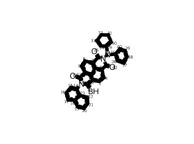 B=c1c2ccc3c4c(ccc(c(=O)n1-c1cccc5ccccc15)c42)C(=O)N(N(C1=CCCC=C1)c1ccccc1)C3=O